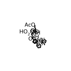 CC(=O)OCCCS(=O)(=O)N[C@@H](CNC(=O)c1ccc(N2CCCCC2NC2=NCCCN2)cc1)C(=O)O